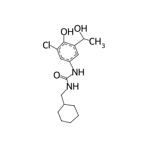 CC(O)c1cc(NC(=O)NCC2CCCCC2)cc(Cl)c1O